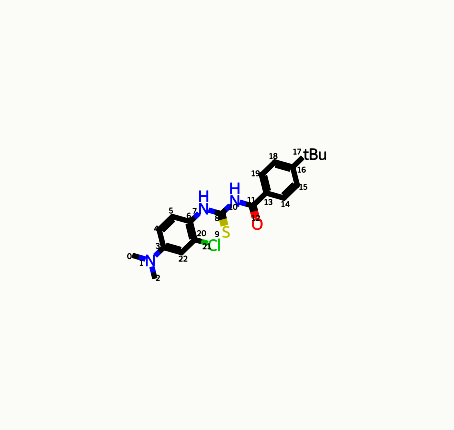 CN(C)c1ccc(NC(=S)NC(=O)c2ccc(C(C)(C)C)cc2)c(Cl)c1